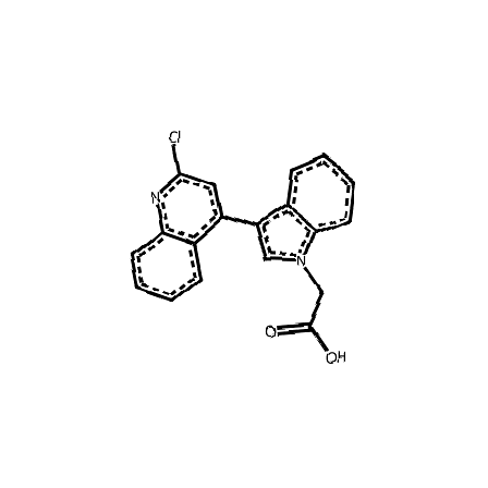 O=C(O)Cn1cc(-c2cc(Cl)nc3ccccc23)c2ccccc21